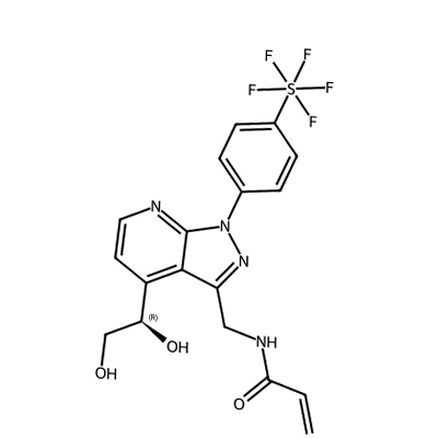 C=CC(=O)NCc1nn(-c2ccc(S(F)(F)(F)(F)F)cc2)c2nccc([C@@H](O)CO)c12